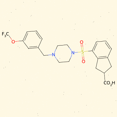 O=C(O)C1Cc2cccc(S(=O)(=O)N3CCN(Cc4cccc(OC(F)(F)F)c4)CC3)c2C1